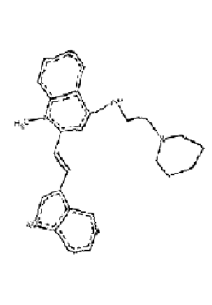 C[n+]1c(/C=C/c2c[nH]c3ccccc23)cc(NCCN2CCCCC2)c2ccccc21